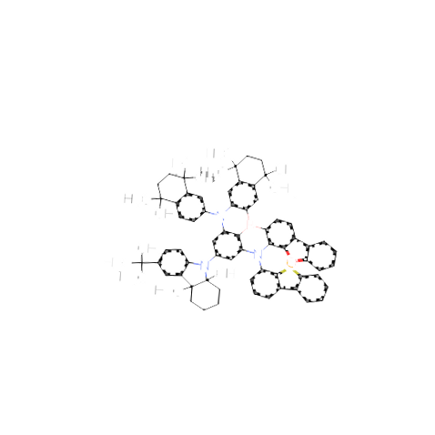 CC(C)(C)c1ccc2c(c1)C1(C)CCCCC1(C)N2c1cc2c3c(c1)N(c1cccc4c1sc1ccccc14)c1c(ccc4c1oc1ccccc14)B3c1cc3c(cc1N2c1ccc2c(c1)C(C)(C)CCC2(C)C)C(C)(C)CCC3(C)C